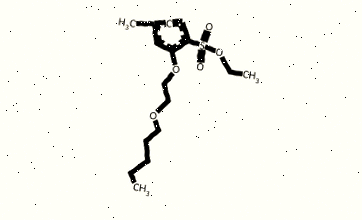 CCCCCOCCOc1cc(C)ccc1S(=O)(=O)OCC